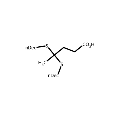 CCCCCCCCCCSC(C)(CCC(=O)O)SCCCCCCCCCC